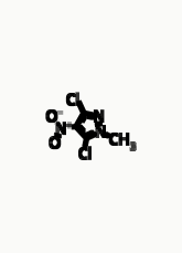 Cn1nc(Cl)c([N+](=O)[O-])c1Cl